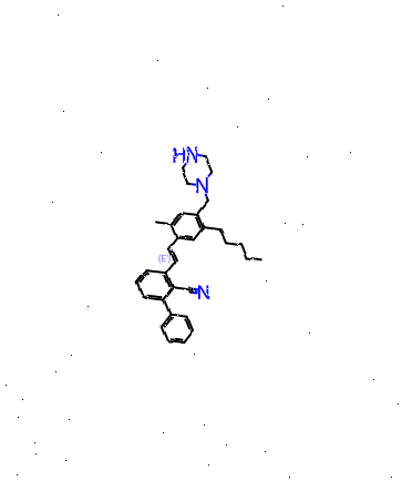 CCCCCc1cc(/C=C/c2cccc(-c3ccccc3)c2C#N)c(C)cc1CN1CCNCC1